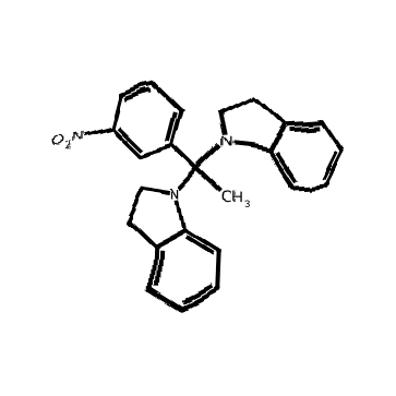 CC(c1cccc([N+](=O)[O-])c1)(N1CCc2ccccc21)N1CCc2ccccc21